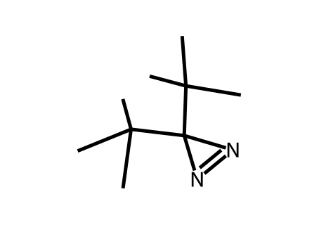 CC(C)(C)C1(C(C)(C)C)N=N1